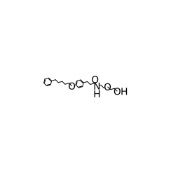 O=C(CCc1ccc(OCCCCCc2ccccc2)cc1)NCCOCCO